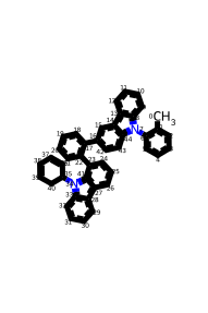 Cc1ccccc1-n1c2ccccc2c2cc(-c3ccccc3-c3cccc4c5ccccc5n(C5C=CC=CC5)c34)ccc21